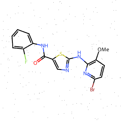 COc1ccc(Br)nc1Nc1ncc(C(=O)Nc2ccccc2F)s1